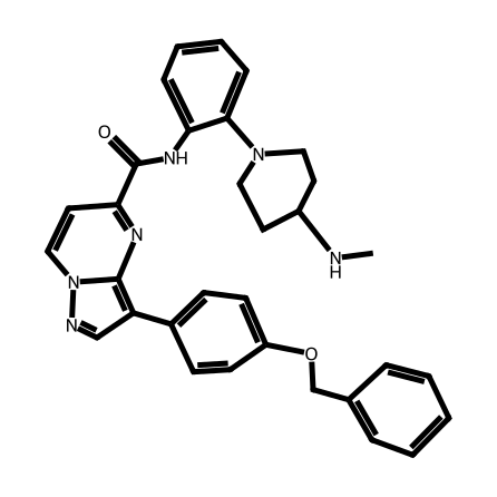 CNC1CCN(c2ccccc2NC(=O)c2ccn3ncc(-c4ccc(OCc5ccccc5)cc4)c3n2)CC1